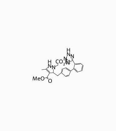 CCOC(=O)CN1NC(C)=C(C(=O)OC)C1Cc1ccc(-c2ccccc2-c2nn[nH]n2)cc1